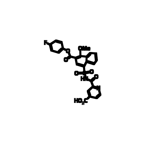 COc1c(C(=O)Oc2ccc(F)cc2)cc(S(=O)(=O)NC(=O)c2cc(C(=O)O)ccn2)c2ccccc12